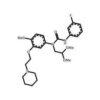 COc1ccc(N(CC(OC)OC)C(=O)Nc2cccc(F)c2)cc1OCCN1CCCCC1